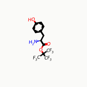 N[C@@H](Cc1ccc(O)cc1)C(=O)OC(C(F)(F)F)(C(F)(F)F)C(F)(F)F